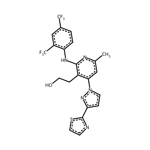 Cc1cc(-n2ccc(-c3nccs3)n2)c(CCO)c(Nc2ccc(C(F)(F)F)cc2C(F)(F)F)n1